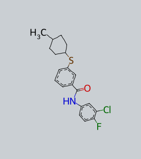 CC1CCC(Sc2cccc(C(=O)Nc3ccc(F)c(Cl)c3)c2)CC1